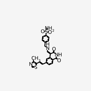 Cc1ncsc1C=Cc1ccc2c(c1)C(=CNCc1ccc(S(N)(=O)=O)cc1)C(=O)NC2=O